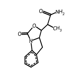 CC(C(N)=O)C1OC(=O)N2c3ccccc3CC12